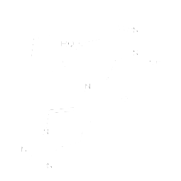 Cn1ncc(C(=O)O)c1C(=O)N(c1ccccc1)c1ccc2ncnn2c1